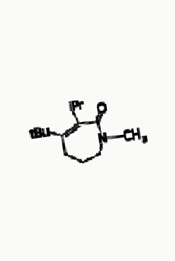 CC(C)C1=C(C(C)(C)C)CCCN(C)C1=O